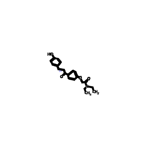 CCN(CC)C(=O)COc1ccc(C(=O)/C=C/c2ccc(O)cc2)cc1